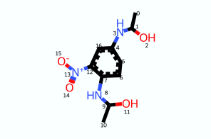 CC(O)Nc1ccc(NC(C)O)c([N+](=O)[O-])c1